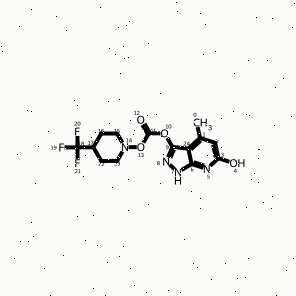 Cc1cc(O)nc2[nH]nc(OC(=O)ON3CCC(C(F)(F)F)CC3)c12